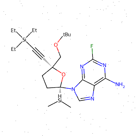 CC[Si](C#C[C@@]1(COC(C)(C)C)CC[C@@](n2cnc3c(N)nc(F)nc32)([SiH](C)C)O1)(CC)CC